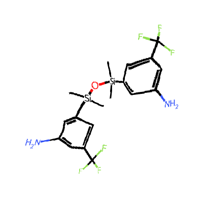 C[Si](C)(O[Si](C)(C)c1cc(N)cc(C(F)(F)F)c1)c1cc(N)cc(C(F)(F)F)c1